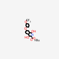 CCCCOC(=O)c1nc(O)c2cc(Oc3cccc(OC(F)(F)F)c3)ccc2c1O